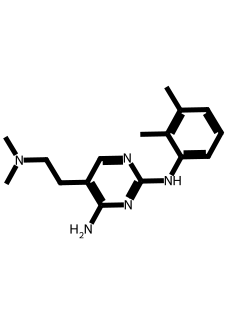 Cc1cccc(Nc2ncc(CCN(C)C)c(N)n2)c1C